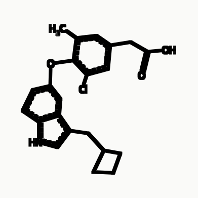 Cc1cc(CC(=O)O)cc(Cl)c1Oc1ccc2[nH]cc(CC3CCC3)c2c1